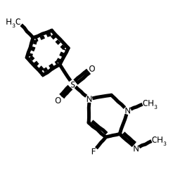 C/N=C1/C(F)=CN(S(=O)(=O)c2ccc(C)cc2)CN1C